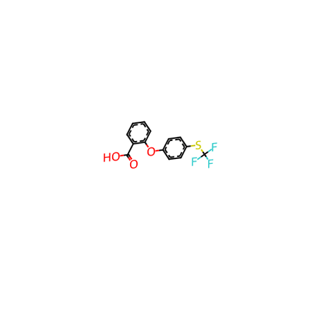 O=C(O)c1ccccc1Oc1ccc(SC(F)(F)F)cc1